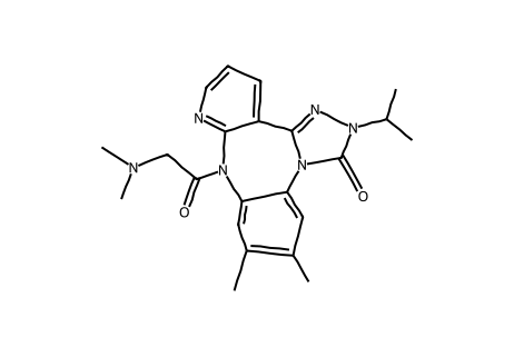 Cc1cc2c(cc1C)-n1c(nn(C(C)C)c1=O)-c1cccnc1N2C(=O)CN(C)C